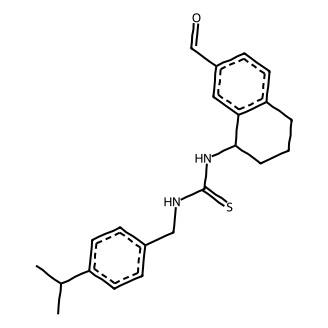 CC(C)c1ccc(CNC(=S)NC2CCCc3ccc(C=O)cc32)cc1